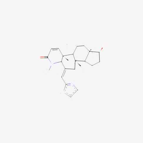 CN1C(=O)C=C[C@]2(C)[C@H]3CC[C@]4(C)[C@@H](O)CC[C@H]4[C@@H]3CC(=Cc3nccs3)[C@@H]12